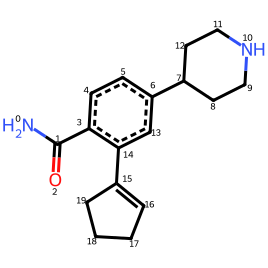 NC(=O)c1ccc(C2CCNCC2)cc1C1=CCCC1